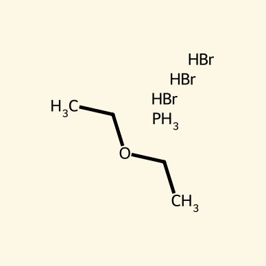 Br.Br.Br.CCOCC.P